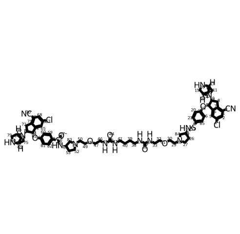 N#Cc1cc(Cl)cc2c1C[C@H](N1C[C@@H]3C[C@H]1CN3)[C@H]2Oc1ccc(SN[C@H]2CCN(CCOCCNC(=O)NCCCCNC(=O)NCCOCCN3CC[C@H](N[S+]([O-])c4ccc(O[C@H]5c6cc(Cl)cc(C#N)c6C[C@@H]5N5C[C@@H]6C[C@H]5CN6)cc4)C3)C2)cc1